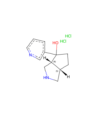 Cl.Cl.OC1(c2cccnc2)CC[C@@H]2CNC[C@@H]21